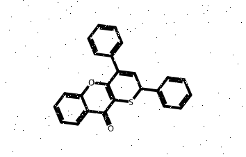 O=c1c2c(oc3ccccc13)C(c1ccccc1)=CC(c1ccccc1)S2